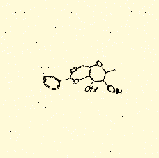 CC1OC2COC(c3ccccc3)OC2C(O)C1O